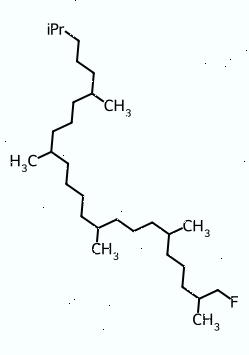 CC(C)CCCC(C)CCCC(C)CCCCC(C)CCCC(C)CCCC(C)CF